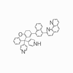 C1=CC(C2(c3ccncc3)C3=C(CCC(c4ccc(-c5ccc6ccc7cccnc7c6n5)c5ccccc45)=C3)Oc3ccccc32)=CCN1